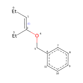 CC/C=C(\CC)OCc1ccccc1